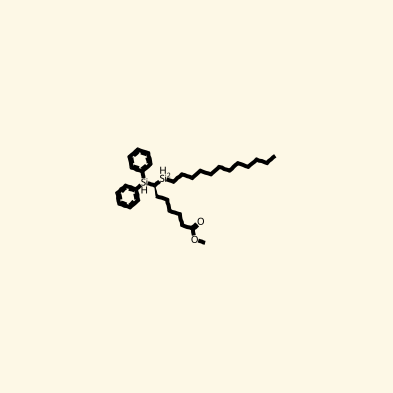 CCCCCCCCCCCC[SiH2][C@@H](CCCCCC(=O)OC)[SiH](c1ccccc1)c1ccccc1